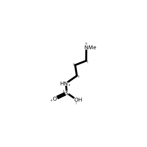 CNCCCNS(=O)O